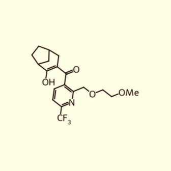 COCCOCc1nc(C(F)(F)F)ccc1C(=O)C1=C(O)C2CCC(C1)C2